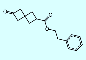 O=C1CC2(C1)CC(C(=O)OCCc1ccccc1)C2